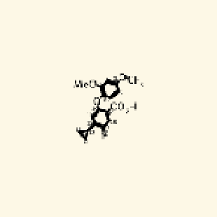 COc1cc(OC(F)(F)F)ccc1Oc1cc(C2CC2)c(F)cc1C(=O)O